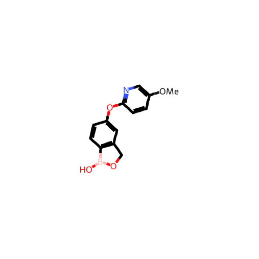 COc1ccc(Oc2ccc3c(c2)COB3O)nc1